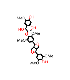 COc1cc([C@H](O)[C@@H](CO)Oc2c(OC)cc(C3OCC4C(c5cc(OC)c(O)c(OC)c5)OCC34)cc2OC)ccc1O